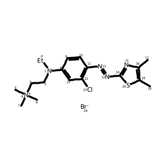 CCN(CC[N+](C)(C)C)c1ccc(/N=N/c2nc(C)c(C)s2)c(Cl)c1.[Br-]